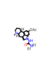 CCN(CC)C(=O)Nn1cc2c3c(cc(OC(C)=O)cc31)[C@H]1CCCN(C)[C@@H]1C2